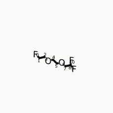 FCCOCCOCC(F)F